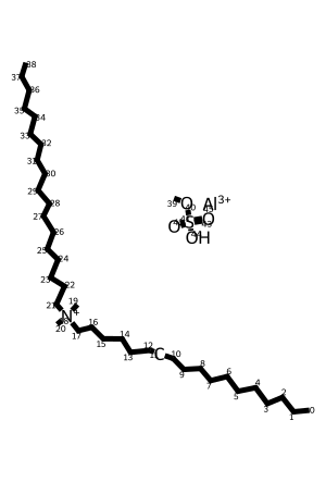 CCCCCCCCCCCCCCCCCC[N+](C)(C)CCCCCCCCCCCCCCCCCC.COS(=O)(=O)O.[Al+3]